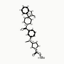 CN(c1cccc(C(=O)N2CCC(c3ccccc3)(N(C)C)CC2)c1)C1CCN(C(=O)OC(C)(C)C)C1